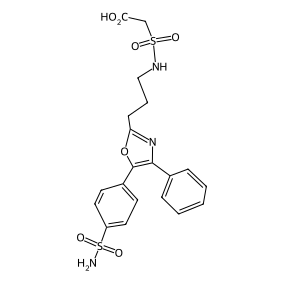 NS(=O)(=O)c1ccc(-c2oc(CCCNS(=O)(=O)CC(=O)O)nc2-c2ccccc2)cc1